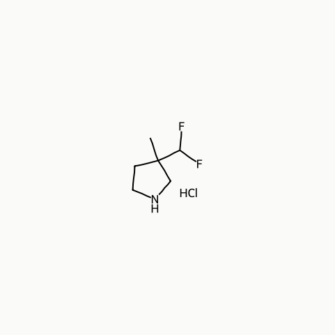 CC1(C(F)F)CCNC1.Cl